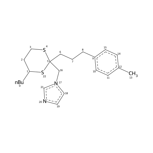 CCCCC1CCSC(CCCc2ccc(C)cc2)(Cn2ccnc2)S1